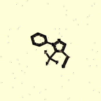 O=[C]c1cnn(-c2ccccc2)c1C(F)(F)F